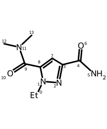 CCn1nc(C(N)=O)[c]c1C(=O)N(C)C